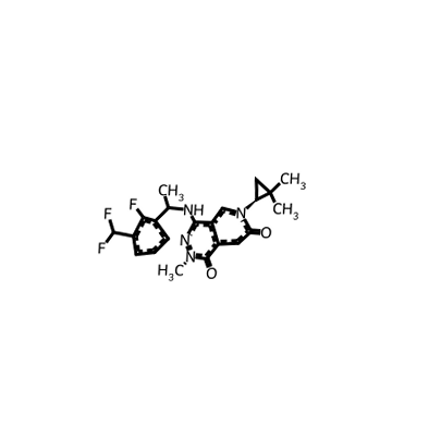 CC(Nc1nn(C)c(=O)c2cc(=O)n([C@H]3CC3(C)C)cc12)c1cccc(C(F)F)c1F